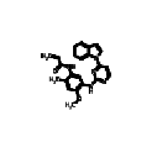 C=CC(=O)Nc1cc(Nc2nccc(-n3ccc4ccccc43)n2)c(OC)cc1C